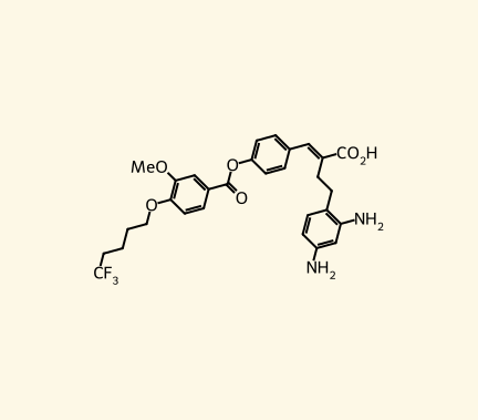 COc1cc(C(=O)Oc2ccc(C=C(CCc3ccc(N)cc3N)C(=O)O)cc2)ccc1OCCCCC(F)(F)F